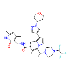 Cc1cc(C)c(CNC(=O)c2cc3c(-c4cnn(C5CCOCC5)c4)ccn3c(C(C)N3CCN(C(F)C(F)F)CC3)c2C)c(=O)[nH]1